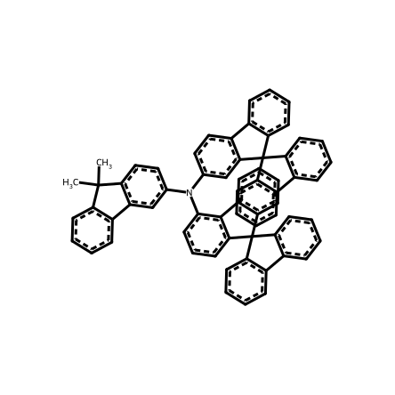 CC1(C)c2ccccc2-c2cc(N(c3ccc4c(c3)C3(c5ccccc5-c5ccccc53)c3ccccc3-4)c3cccc4c3-c3ccccc3C43c4ccccc4-c4ccccc43)ccc21